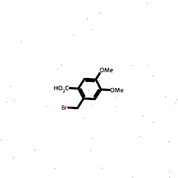 COc1cc(CBr)c(C(=O)O)cc1OC